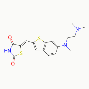 CN(C)CCN(C)c1ccc2cc(/C=C3\SC(=O)NC3=O)sc2c1